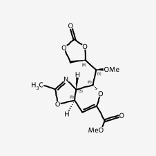 COC(=O)C1=C[C@H]2OC(C)=N[C@@H]2[C@H]([C@H](OC)[C@H]2COC(=O)O2)O1